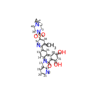 CC(=O)N1CCN(S(=O)(=O)c2cnc(-c3ccc(N(Cc4cccnc4)C(=O)c4ccc(O)cc4O)cc3)c(C)c2)CC1